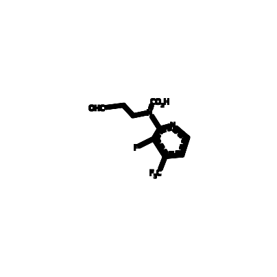 O=CCCN(C(=O)O)c1nccc(C(F)(F)F)c1F